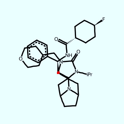 CC(C)N1C(=O)N(CC2CCOCC2)CC12CC1CCC(C2)N1CC[C@H](NC(=O)[C@H]1CC[C@H](F)CC1)c1ccccc1